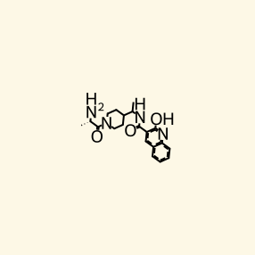 CC(NC(=O)c1cc2ccccc2nc1O)C1CCN(C(=O)[C@H](C)N)CC1